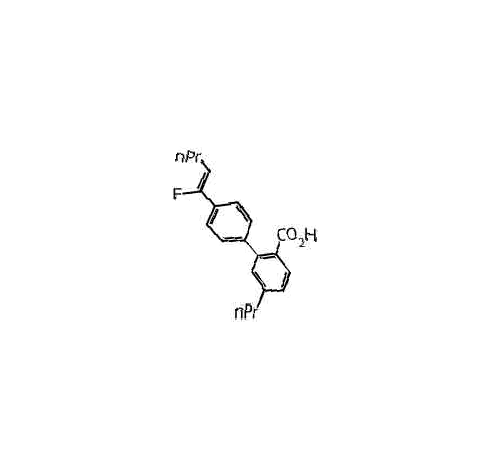 CCCC=C(F)c1ccc(-c2cc(CCC)ccc2C(=O)O)cc1